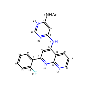 CC(=O)Nc1cc(Nc2cc(-c3ccccc3F)nc3ncccc23)ncn1